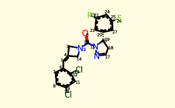 O=C(N1CC(=Cc2ccc(Cl)cc2Cl)C1)N1N=CC[C@H]1c1cc(F)cc(F)c1